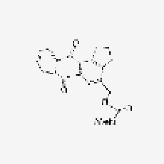 CNC(=O)OCc1cc2c(c3c1CCC3)C(=O)c1ccccc1C2=O